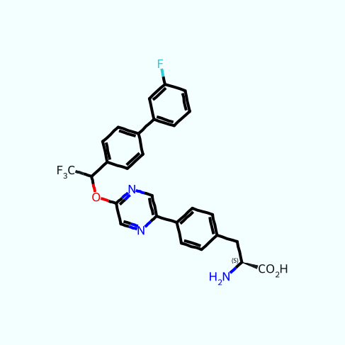 N[C@@H](Cc1ccc(-c2cnc(OC(c3ccc(-c4cccc(F)c4)cc3)C(F)(F)F)cn2)cc1)C(=O)O